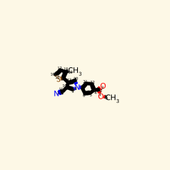 COC(=O)c1ccc(-n2cc(C#N)c(-c3sccc3C)c2)cc1